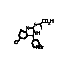 Br.CC(SC1=Nc2ccc(Cl)cc2C(c2ccccc2)N1)C(=O)O